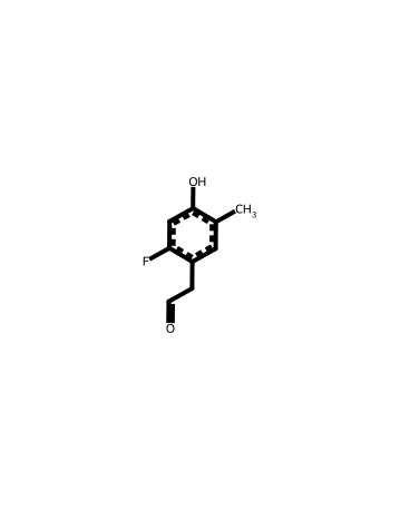 Cc1cc(CC=O)c(F)cc1O